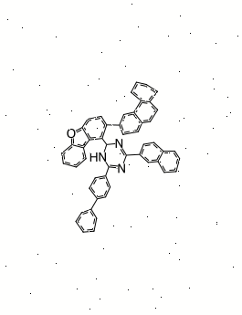 c1ccc(-c2ccc(C3=NC(c4ccc5ccccc5c4)=NC(c4c(-c5ccc6ccc7ccccc7c6c5)ccc5oc6ccccc6c45)N3)cc2)cc1